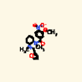 COc1cc(C(=O)N(C)C2CCCCC2N(C)Cc2ccco2)ccc1[N+](=O)[O-]